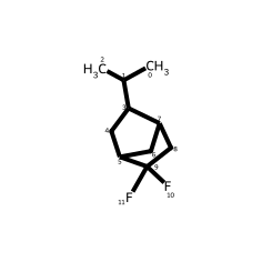 CC(C)C1CC2CC1CC2(F)F